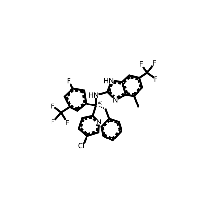 Cc1cc(C(F)(F)F)cc2[nH]c(N[C@](Cc3ccccc3)(c3cc(F)cc(C(F)(F)F)c3)c3ccc(Cl)cn3)nc12